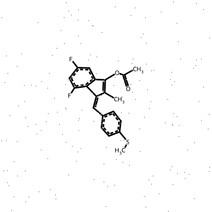 CSc1ccc(C=C2C(C)=C(OC(C)=O)c3cc(F)cc(F)c32)cc1